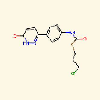 O=C(Nc1ccc(-c2ccc(=O)[nH]n2)cc1)SCCCCl